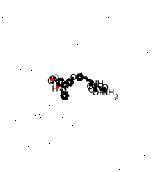 Cc1c(NS(C)(=O)=O)cccc1N(Cc1ccccc1)Cc1ccc(Oc2ccc(CCCC(=O)N[C@@H](CCC(N)=O)C(=O)O)cc2)cc1